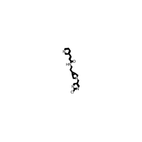 O=C(/C=C/c1cccnc1)NCCC1C2CN(Cc3cnc(Cl)nc3)CC12